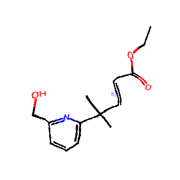 CCOC(=O)/C=C/C(C)(C)c1cccc(CO)n1